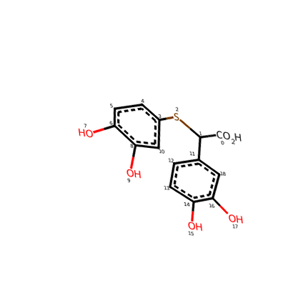 O=C(O)C(Sc1ccc(O)c(O)c1)c1ccc(O)c(O)c1